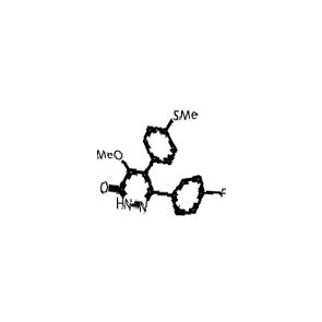 COc1c(-c2ccc(SC)cc2)c(-c2ccc(F)cc2)n[nH]c1=O